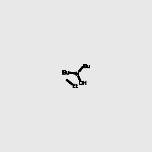 CCC.CCC(C)N(O)C(C)CC